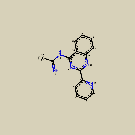 N=C(Nc1nc(-c2ccccn2)nc2ccccc12)C(F)(F)F